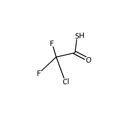 O=C(S)C(F)(F)Cl